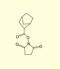 O=C(ON1C(=O)CCC1=O)C1CC2CCC1C2